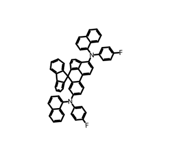 Fc1ccc(N(c2ccc3c(c2)C2(c4ccccc4-c4ccccc42)c2cccc4c(N(c5ccc(F)cc5)c5cccc6ccccc56)ccc-3c24)c2cccc3ccccc23)cc1